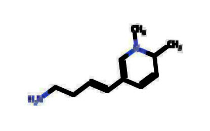 CC1C=CC(/C=C/CCN)=CN1C